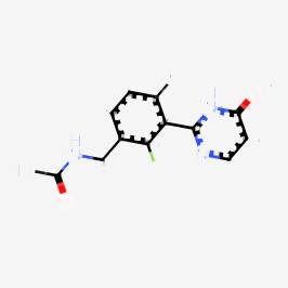 CC(C)C(=O)NCc1ccc(C(F)(F)F)c(-c2nccc(=O)[nH]2)c1F